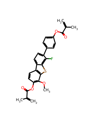 C=C(C)C(=O)Oc1ccc(-c2ccc3c(sc4c(OC)c(OC(=O)C(=C)C)ccc43)c2F)cc1